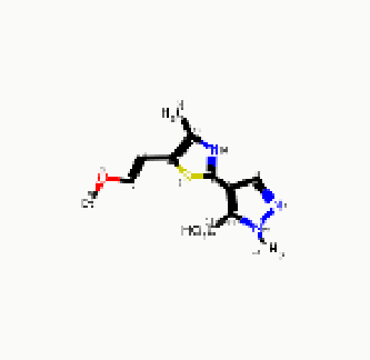 CCO/C=C/c1sc(-c2cnn(C)c2C(=O)O)nc1C